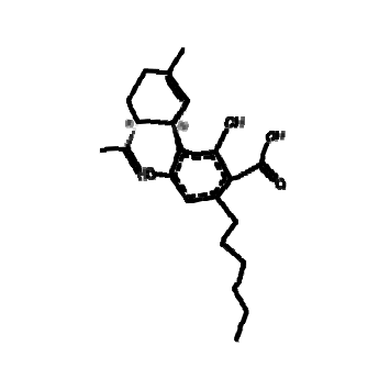 C=C(C)[C@@H]1CCC(C)=C[C@H]1c1c(O)cc(CCCCCC)c(C(=O)O)c1O